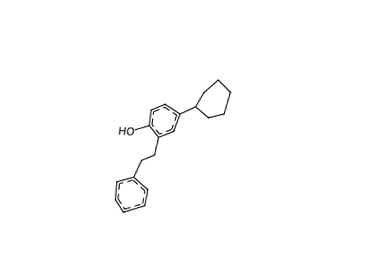 Oc1ccc(C2CCCCC2)cc1CCc1ccccc1